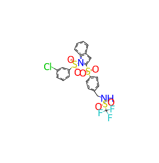 O=S(=O)(c1ccc(CNS(=O)(=O)C(F)(F)F)cc1)c1cc2ccccc2n1S(=O)(=O)c1cccc(Cl)c1